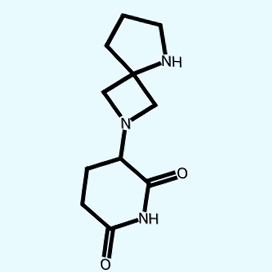 O=C1CCC(N2CC3(CCCN3)C2)C(=O)N1